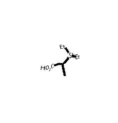 CC[S+](CC)C(C)C(=O)O